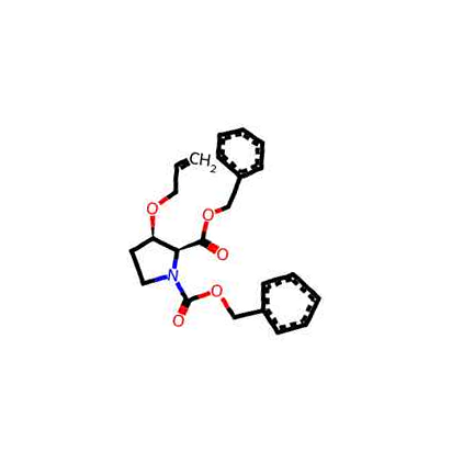 C=CCO[C@@H]1CCN(C(=O)OCc2ccccc2)[C@@H]1C(=O)OCc1ccccc1